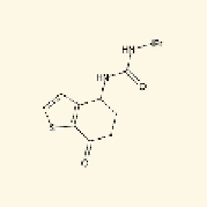 CC(C)NC(=O)NC1CCC(=O)c2sccc21